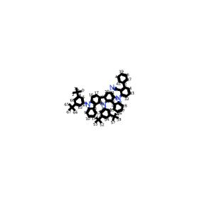 CC(C)(C)c1cc(-n2c3ccccc3c3c2ccc2c4ccc5c(c6ccccc6n5-c5cccc(-c6ccccc6)c5C#N)c4n(-c4cc(C(C)(C)C)cc(C(C)(C)C)c4)c23)cc(C(C)(C)C)c1